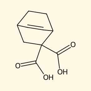 O=C(O)C1(C(=O)O)CC2C=CC1CC2